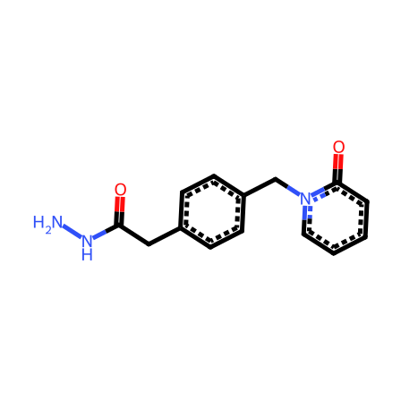 NNC(=O)Cc1ccc(Cn2ccccc2=O)cc1